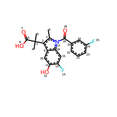 Cc1c(C(C)(C)C(=O)O)c2cc(O)c(F)cc2n1C(=O)c1cccc(F)c1